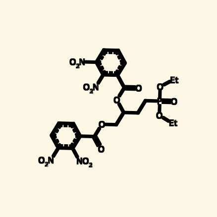 CCOP(=O)(CCC(COC(=O)c1cccc([N+](=O)[O-])c1[N+](=O)[O-])OC(=O)c1cccc([N+](=O)[O-])c1[N+](=O)[O-])OCC